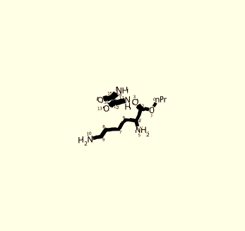 CCCOC(=O)C(N)CCCCN.N=C=O.N=C=O